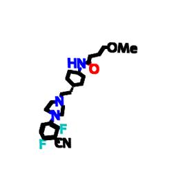 COCCCC(=O)N[C@H]1CC[C@H](CCN2CCN(c3ccc(F)c(C#N)c3F)CC2)CC1